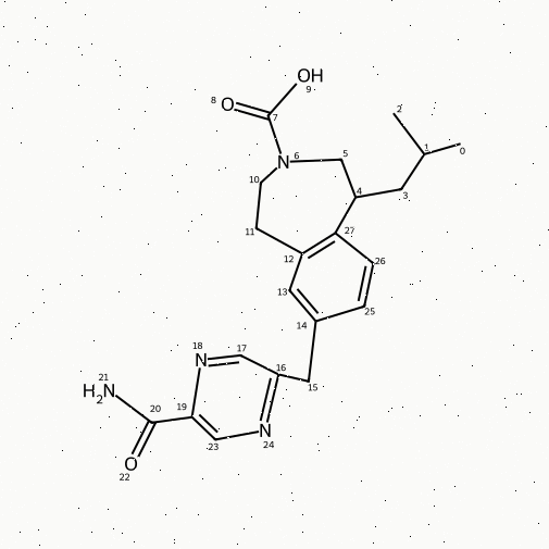 CC(C)CC1CN(C(=O)O)CCc2cc(Cc3cnc(C(N)=O)cn3)ccc21